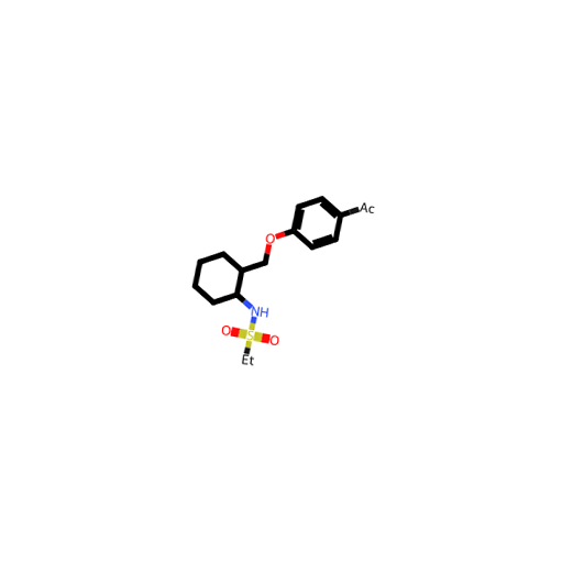 CCS(=O)(=O)NC1CCCCC1COc1ccc(C(C)=O)cc1